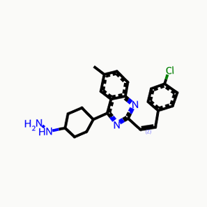 Cc1ccc2nc(/C=C\c3ccc(Cl)cc3)nc(C3CCC(NN)CC3)c2c1